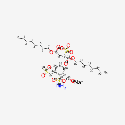 CCCCCCCCOC(=O)CC(C(=O)OCCCCCCCC)S(=O)(=O)[O-].CS(=O)(=O)Cc1ccccc1S(N)(=O)=O.[C]=O.[Na+]